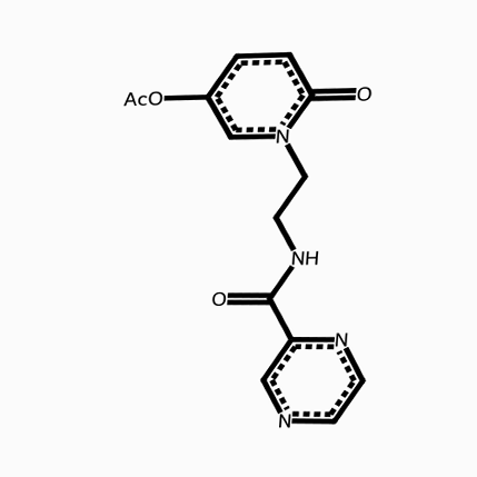 CC(=O)Oc1ccc(=O)n(CCNC(=O)c2cnccn2)c1